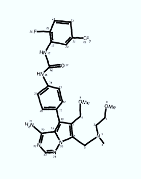 COCCN(C)Cc1c(COC)c(-c2ccc(NC(=O)Nc3cc(C(F)(F)F)ccc3F)cc2)c2c(N)ncnn12